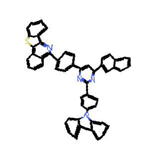 c1ccc2cc(-c3cc(-c4ccc(-c5nc6c7ccccc7sc6c6ccccc56)cc4)nc(-c4ccc(-n5c6ccccc6c6ccccc65)cc4)n3)ccc2c1